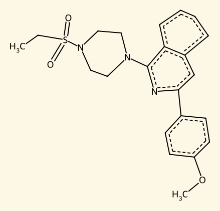 CCS(=O)(=O)N1CCN(c2nc(-c3ccc(OC)cc3)cc3ccccc23)CC1